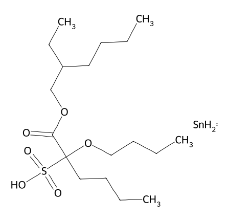 CCCCOC(CCCC)(C(=O)OCC(CC)CCCC)S(=O)(=O)O.[SnH2]